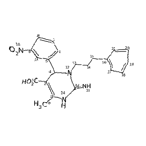 CC1=C(C(=O)O)C(c2cccc([N+](=O)[O-])c2)N(CCCc2ccccc2)C(=N)N1